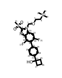 C[Si](C)(C)CCOCn1c(S(C)(=O)=O)nc2c(F)c(-c3ccc(C4(O)CCC4)cc3)c(F)cc21